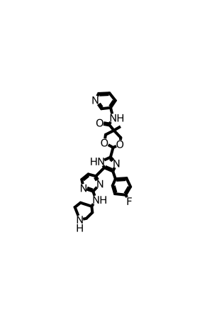 CC1(C(=O)Nc2cccnc2)COC(c2nc(-c3ccc(F)cc3)c(-c3ccnc(NC4CCNCC4)n3)[nH]2)OC1